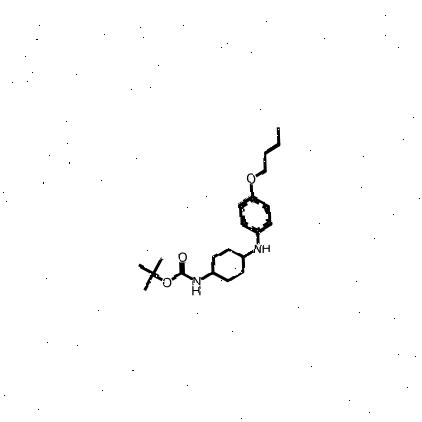 CCCCOc1ccc(NC2CCC(NC(=O)OC(C)(C)C)CC2)cc1